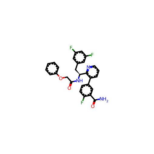 NC(=O)c1cc(-c2cccnc2[C@H](Cc2cc(F)cc(F)c2)NC(=O)COc2ccccc2)ccc1F